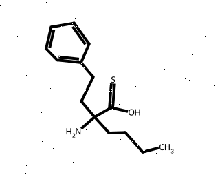 CCCCC(N)(CCc1ccccc1)C(O)=S